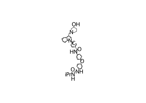 CC(C)NC(=O)Nc1ccc(Oc2ccc(NC(=O)c3ccc(-n4cc(CN5CCCC(O)C5)c5ccccc54)cc3)cc2)cc1